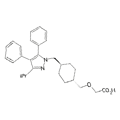 CC(C)c1nn(C[C@H]2CC[C@H](COCC(=O)O)CC2)c(-c2ccccc2)c1-c1ccccc1